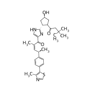 C/C(=C/[C@@H](C)c1ccc(-c2scnc2C)cc1)C(=O)c1c[nH]c([C@@H]2C[C@@H](O)CC2C(=O)CC(C)(C)C)n1